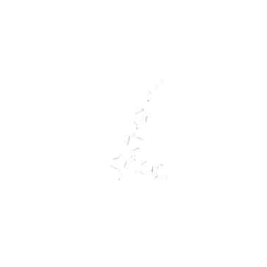 C=CC(=O)OCc1ccc(-c2ccc(N(c3ccc(C)c(C)c3)c3ccc(C)c(C)c3)cc2)cc1